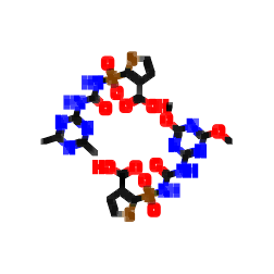 COc1nc(NC(=O)NS(=O)(=O)c2sccc2C(=O)O)nc(OC)n1.Cc1nc(C)nc(NC(=O)NS(=O)(=O)c2sccc2C(=O)O)n1